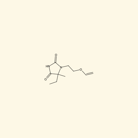 C=COCCN1C(=O)NC(=O)C1(C)CC